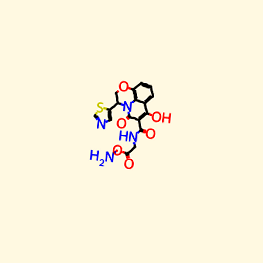 NOC(=O)CNC(=O)c1c(O)c2cccc3c2n(c1=O)C(c1cncs1)CO3